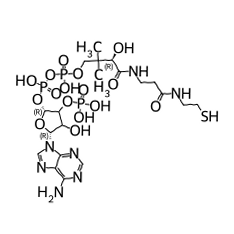 CC(C)(COP(=O)(O)OP(=O)(O)O[C@H]1O[C@@H](n2cnc3c(N)ncnc32)C(O)C1OP(=O)(O)O)[C@@H](O)C(=O)NCCC(=O)NCCS